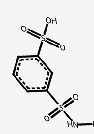 NNS(=O)(=O)c1cccc(S(=O)(=O)O)c1